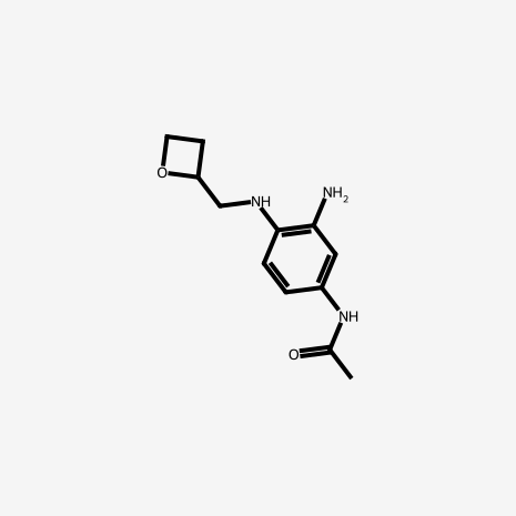 CC(=O)Nc1ccc(NCC2CCO2)c(N)c1